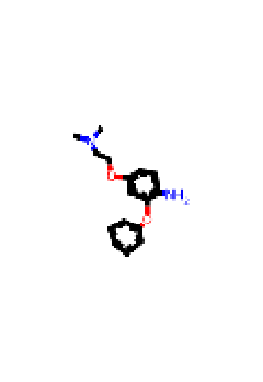 CN(C)CCOc1ccc(N)c(Oc2ccccc2)c1